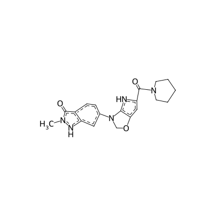 Cn1[nH]c2cc(N3COc4cc(C(=O)N5CCCCC5)[nH]c43)ccc2c1=O